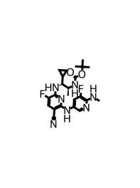 CNc1ncc(Nc2nc(N[C@H](C3CC3)[C@H](C)NC(=O)OC(C)(C)C)c(F)cc2C#N)cc1F